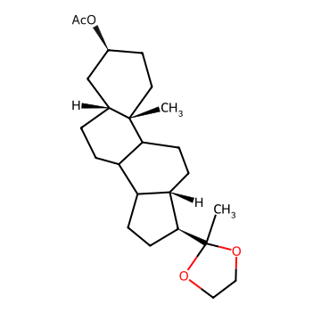 CC(=O)O[C@H]1CC[C@]2(C)C3CC[C@H]4C(CC[C@@H]4C4(C)OCCO4)C3CC[C@@H]2C1